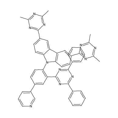 Cc1nc(C)nc(-c2ccc3c(c2)c2cc(-c4nc(C)nc(C)n4)ccc2n3-c2ccc(-c3cccnc3)cc2-c2nc(-c3ccccc3)nc(-c3ccccc3)n2)n1